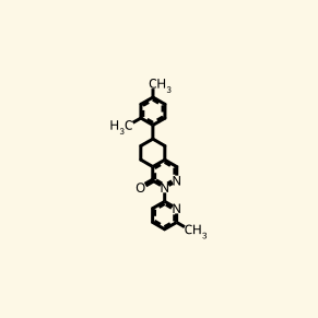 Cc1ccc(C2CCc3c(cnn(-c4cccc(C)n4)c3=O)C2)c(C)c1